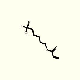 C=CC(=O)OCCCCCC(F)(F)[SiH3]